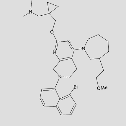 CCc1cccc2cccc(N3CCc4c(nc(OCC5(CN(C)C)CC5)nc4N4CCCCC(CCOC)C4)C3)c12